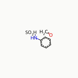 C=O.O=S(=O)(O)Nc1ccccc1